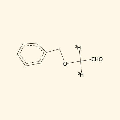 [2H]C([2H])(C=O)OCc1ccccc1